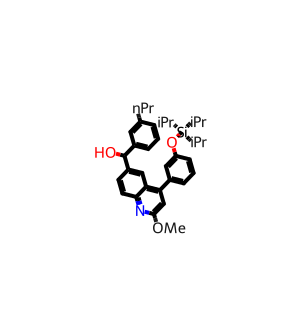 CCCc1cccc(C(O)c2ccc3nc(OC)cc(-c4cccc(O[Si](C(C)C)(C(C)C)C(C)C)c4)c3c2)c1